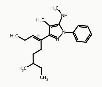 CC/C=C(\CCC(C)CC)c1nn(-c2ccccc2)c(NC)c1C